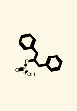 O=[PH](O)OC(Cc1ccccc1)Cc1ccccc1